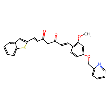 COc1cc(OCc2ccccn2)ccc1C=CC(=O)CC(=O)C=Cc1cc2ccccc2s1